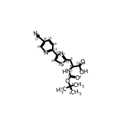 CC(C)(C)OC(=O)NC(Cc1nc(-c2ccc(C#N)cn2)cs1)C(=O)O